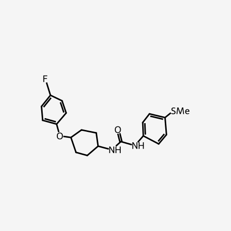 CSc1ccc(NC(=O)NC2CCC(Oc3ccc(F)cc3)CC2)cc1